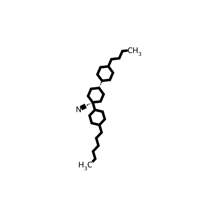 CCCCCCC1CCC([C@]2(C#N)CC[C@@H](C3CCC(CCCC)CC3)CC2)CC1